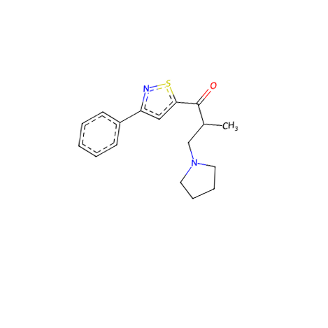 CC(CN1CCCC1)C(=O)c1cc(-c2ccccc2)ns1